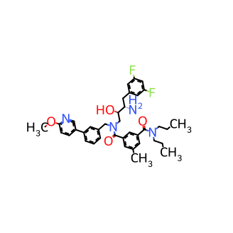 CCCN(CCC)C(=O)c1cc(C)cc(C(=O)N(Cc2cccc(-c3ccc(OC)nc3)c2)C[C@@H](O)[C@@H](N)Cc2cc(F)cc(F)c2)c1